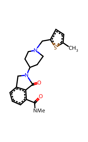 CNC(=O)c1cccc2c1C(=O)N(C1CCN(Cc3ccc(C)s3)CC1)C2